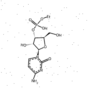 CCOP(=O)(O)O[C@H]1[C@@H](O)[C@H](n2ccc(N)nc2=O)O[C@@H]1CO